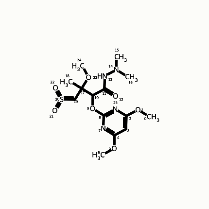 COc1cc(OC)nc(OC(C(=O)NN(C)C)C(C)(C=S(=O)=O)OC)n1